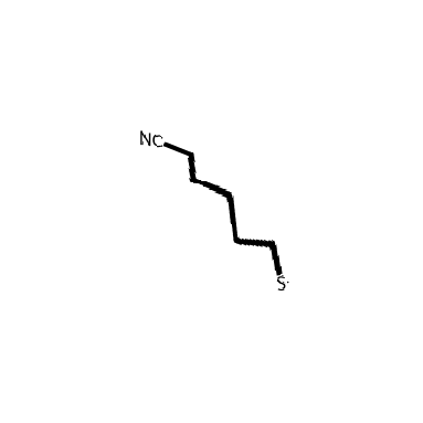 N#CCCCCC[S]